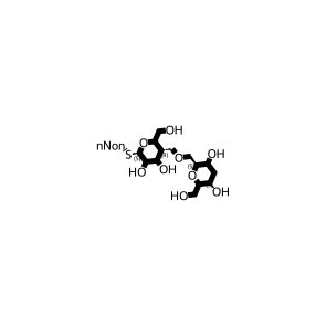 CCCCCCCCCS[C@@H]1OC(CO)[C@H](COC[C@@H]2OC(CO)[C@@H](O)CC2O)C(O)C1O